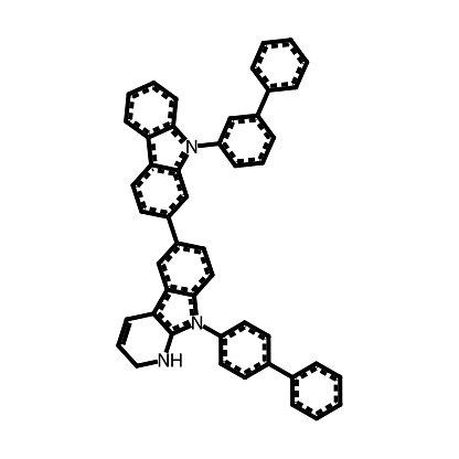 C1=Cc2c(n(-c3ccc(-c4ccccc4)cc3)c3ccc(-c4ccc5c6ccccc6n(-c6cccc(-c7ccccc7)c6)c5c4)cc23)NC1